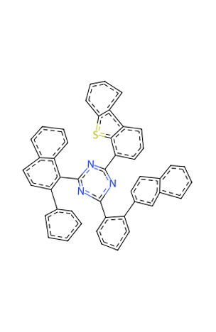 c1ccc(-c2ccc3ccccc3c2-c2nc(-c3ccccc3-c3ccc4ccccc4c3)nc(-c3cccc4c3sc3ccccc34)n2)cc1